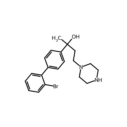 CC(O)(CCN1CCNCC1)c1ccc(-c2ccccc2Br)cc1